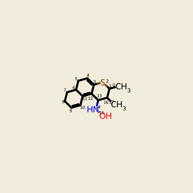 CC1SC2=CCC3CCC=CC3=C2C(NO)C1C